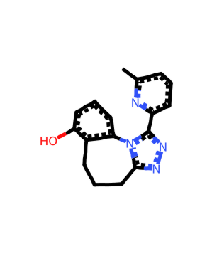 Cc1cccc(-c2nnc3n2-c2cccc(O)c2CCC3)n1